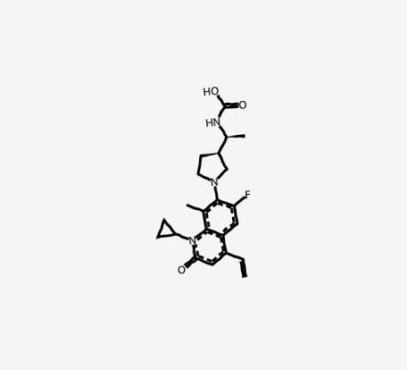 C=Cc1cc(=O)n(C2CC2)c2c(C)c(N3CC[C@@H]([C@H](C)NC(=O)O)C3)c(F)cc12